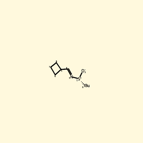 CC(C)(C)[S@@+]([O-])/N=C/C1CCC1